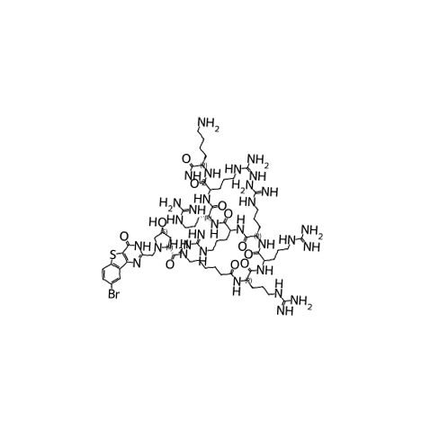 N=C(N)NCCCC(NC(=O)[C@@H](CCCNC(=N)N)NC(=O)CCCCCNC(=O)[C@H]1C[C@H](O)CN1Cc1nc2c(sc3ccc(Br)cc32)c(=O)[nH]1)C(=O)N[C@H](CCCNC(=N)N)C(=O)NC(CCCNC(=N)N)C(=O)N[C@H](CCCNC(=N)N)C(=O)NC(CCCNC(=N)N)C(=O)N[C@H](CCCCN)C(N)=O